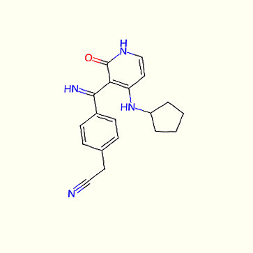 N#CCc1ccc(C(=N)c2c(NC3CCCC3)cc[nH]c2=O)cc1